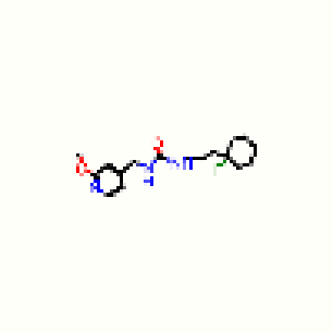 COc1cc(CNC(=O)NCCCC2(F)CCCCC2)ccn1